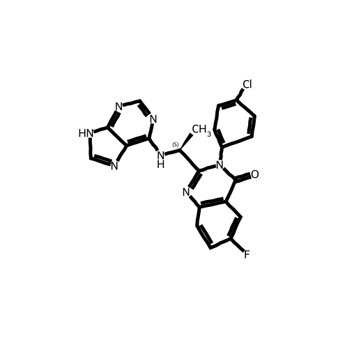 C[C@H](Nc1ncnc2[nH]cnc12)c1nc2ccc(F)cc2c(=O)n1-c1ccc(Cl)cc1